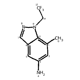 Cc1cc(N)cc2cnn(CC(F)(F)F)c12